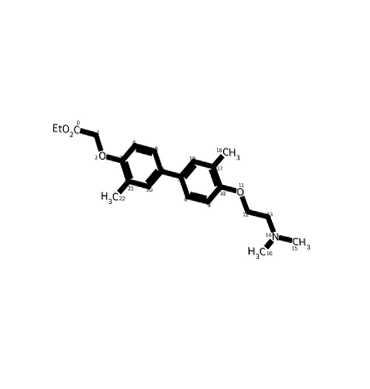 CCOC(=O)COc1ccc(-c2ccc(OCCN(C)C)c(C)c2)cc1C